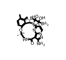 BC(O)(O)C(B)(O)N1Cc2c(ccc(C)c2C)O[C@@H](C)CNC(=O)c2c(N)nn3ccc1nc23